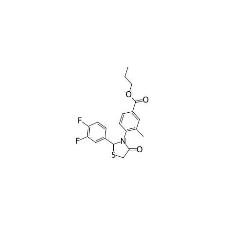 CCCOC(=O)c1ccc(N2C(=O)CSC2c2ccc(F)c(F)c2)c(C)c1